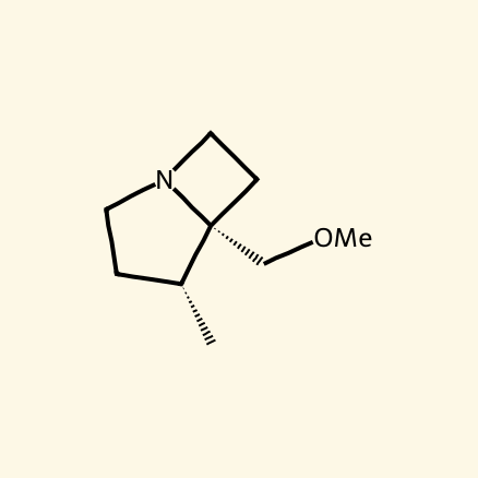 COC[C@@]12CCN1CC[C@H]2C